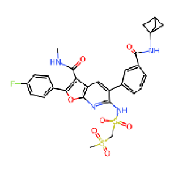 CNC(=O)c1c(-c2ccc(F)cc2)oc2nc(NS(=O)(=O)CS(C)(=O)=O)c(-c3cccc(C(=O)NC45CC(C4)C5)c3)cc12